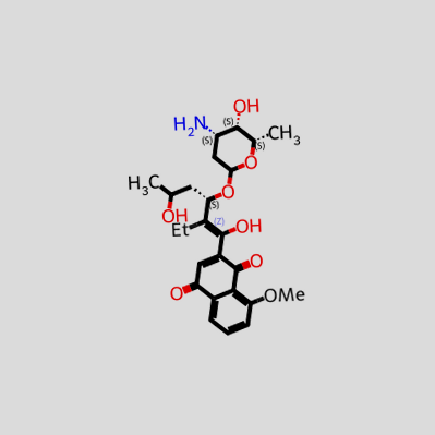 CC/C(=C(/O)C1=CC(=O)c2cccc(OC)c2C1=O)[C@H](CC(C)O)OC1C[C@H](N)[C@H](O)[C@H](C)O1